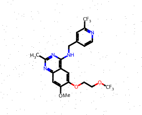 COc1cc2nc(C)nc(NCc3ccnc(C(F)(F)F)c3)c2cc1OCCOC(F)(F)F